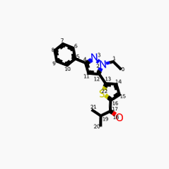 CCn1nc(-c2ccccc2)cc1-c1ccc(C(=O)C(C)C)s1